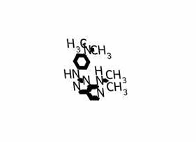 CC(C)Nc1nccc2cnc(NC3CCC(N(C)C)CC3)nc12